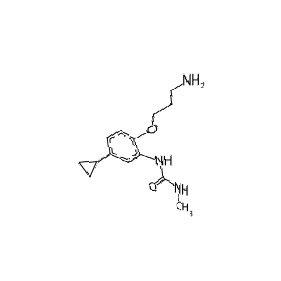 CNC(=O)Nc1cc(C2CC2)ccc1OCCCN